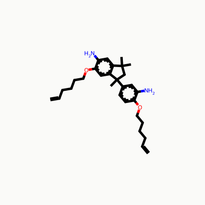 C=CCCCCOc1ccc(C2(C)CC(C)(C)c3cc(N)c(OCCCCC=C)cc32)cc1N